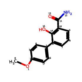 COc1ccc(-c2cccc(C(N)=O)c2O)cc1